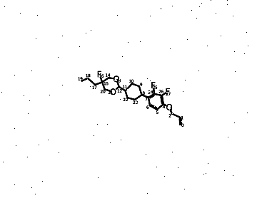 C=CCOc1ccc(C2CCC(C3OCC(F)(CCC)CO3)CC2)c(F)c1F